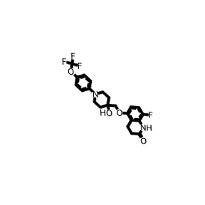 O=C1CCc2c(OCC3(O)CCN(c4ccc(OC(F)(F)F)cc4)CC3)ccc(F)c2N1